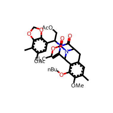 C=C1C2c3c(cc(C)c(OC)c3OCCCC)CC(C(=O)N1C(COC(C)=O)c1cc(OC(C)=O)c(C)c3c1OCO3)N2C(=O)OCC(Cl)(Cl)Cl